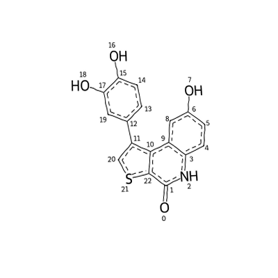 O=c1[nH]c2ccc(O)cc2c2c(-c3ccc(O)c(O)c3)csc12